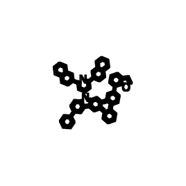 c1ccc(-c2ccc3c(c2)c2cc4c5ccccc5c5ccc(-c6cccc7ccoc67)cc5c4cc2n3-c2cc(-c3ccc4ccccc4c3)nc(-c3ccc4ccccc4c3)c2)cc1